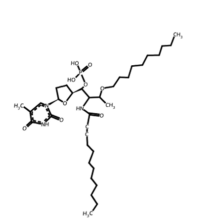 CCCCCCCCCCCC(=O)NC(C(C)OCCCCCCCCCC)C(OP(=O)(O)O)[C@@H]1CC[C@H](n2cc(C)c(=O)[nH]c2=O)O1